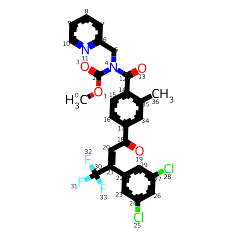 COC(=O)N(Cc1ccccn1)C(=O)c1ccc(C(=O)/C=C(\c2cc(Cl)cc(Cl)c2)C(F)(F)F)cc1C